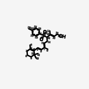 CC(C=CC1=C(C)CCCC1(C)C)=CCC(C(C)=CCO)S(=O)(=O)c1ccc(C)cc1